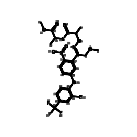 COCC(=NOC(C)C(=O)SC(C)C(=O)OC)c1cc(Oc2ccc(C(F)(F)F)cc2Cl)ccc1[N+](=O)[O-]